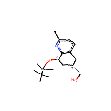 Cc1ccc2c(n1)[C@H](O[Si](C)(C)C(C)(C)C)C[C@@H](CO)C2